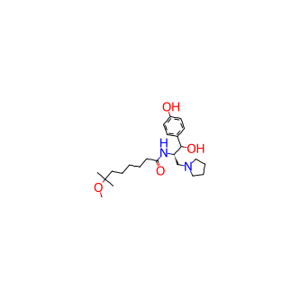 COC(C)(C)CCCCCC(=O)N[C@H](CN1CCCC1)C(O)c1ccc(O)cc1